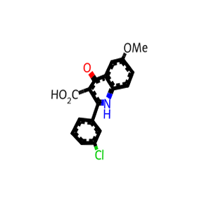 COc1ccc2[nH]c(-c3cccc(Cl)c3)c(C(=O)O)c(=O)c2c1